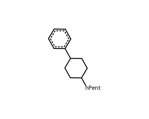 CCCCCC1CCC(c2ccccc2)CC1